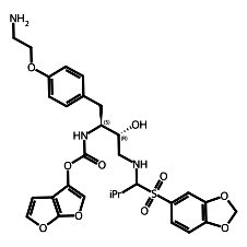 CC(C)C(NC[C@@H](O)[C@H](Cc1ccc(OCCN)cc1)NC(=O)Oc1coc2occc12)S(=O)(=O)c1ccc2c(c1)OCO2